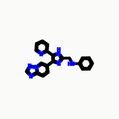 c1ccc(NCc2nc(-c3ccc4ncnn4c3)c(-c3ccccn3)[nH]2)cc1